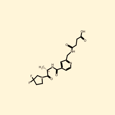 C[C@H](NC(=O)c1ccnc(CNC(=O)CCC(=O)O)c1)C(=O)N1CCC(F)(F)C1